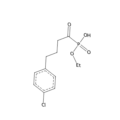 CCOP(=O)(O)C(=O)CCCc1ccc(Cl)cc1